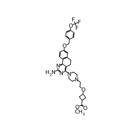 COC(=O)C1CC(OCCN2CCN(c3nc(N)nc4c3CCc3cc(OCc5ccc(OC(F)(F)F)cc5)ccc3-4)CC2)C1